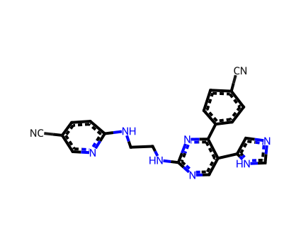 N#Cc1ccc(-c2nc(NCCNc3ccc(C#N)cn3)ncc2-c2cnc[nH]2)cc1